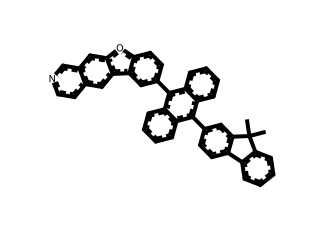 CC1(C)c2ccccc2-c2ccc(-c3c4ccccc4c(-c4ccc5oc6cc7cnccc7cc6c5c4)c4ccccc34)cc21